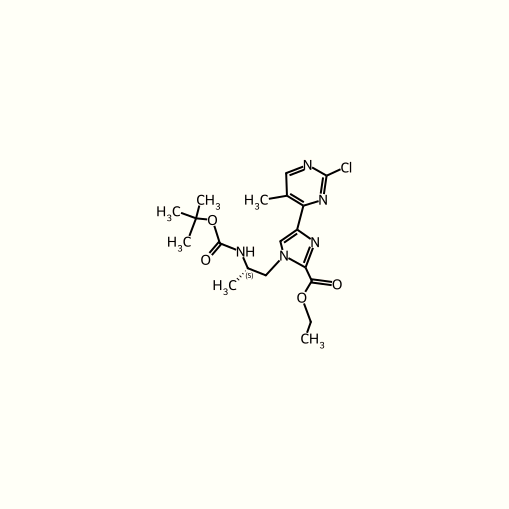 CCOC(=O)c1nc(-c2nc(Cl)ncc2C)cn1C[C@H](C)NC(=O)OC(C)(C)C